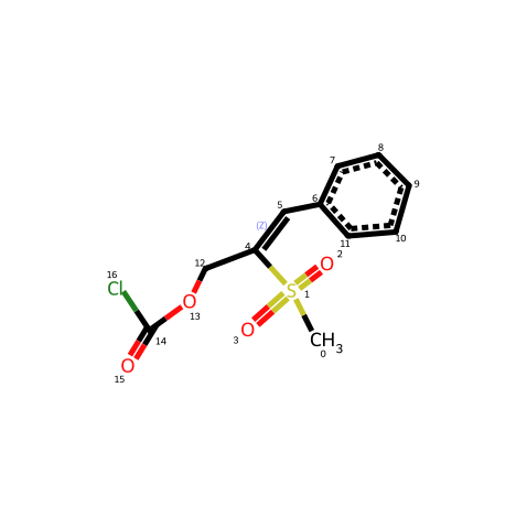 CS(=O)(=O)/C(=C\c1ccccc1)COC(=O)Cl